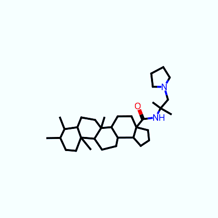 CC1CCC2(C)C(CCC3(C)C4CCC5(C(=O)NC(C)(C)CN6CCCC6)CCCC5C4CCC23)C1C